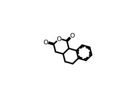 O=C1CC2CCc3ccccc3C2C(=O)O1